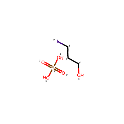 O=S(=O)(O)O.OCCCI